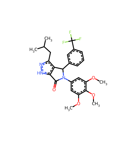 COc1cc(N2C(=O)c3[nH]nc(CC(C)C)c3C2c2cccc(C(F)(F)F)c2)cc(OC)c1OC